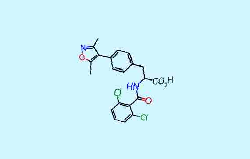 Cc1noc(C)c1-c1ccc(C[C@H](NC(=O)c2c(Cl)cccc2Cl)C(=O)O)cc1